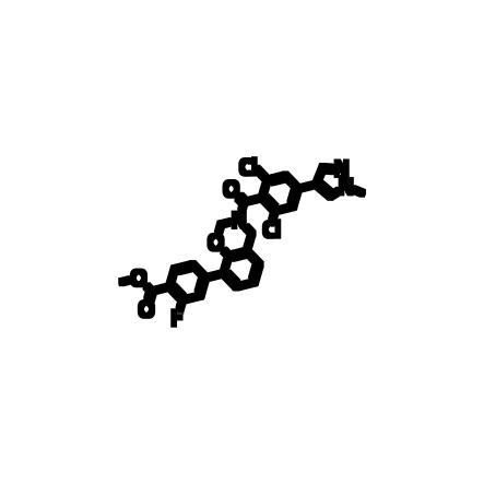 COC(=O)c1ccc(-c2cccc3c2OCN(C(=O)c2c(Cl)cc(-c4cnn(C)c4)cc2Cl)C3)cc1F